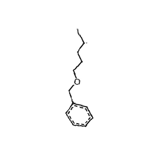 I[CH]CCCOCc1ccccc1